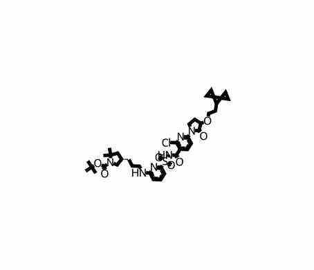 CC(C)(C)OC(=O)N1C[C@@H](CCCNc2cccc(S(=O)(=O)NC(=O)c3ccc(N4CCC(OCCC5C6(CC6)C56CC6)C4=O)nc3Cl)n2)CC1(C)C